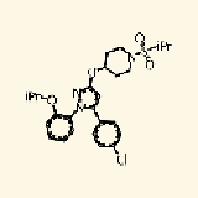 CC(C)Oc1ccccc1-n1nc(OC2CCN(S(=O)(=O)C(C)C)CC2)cc1-c1ccc(Cl)cc1